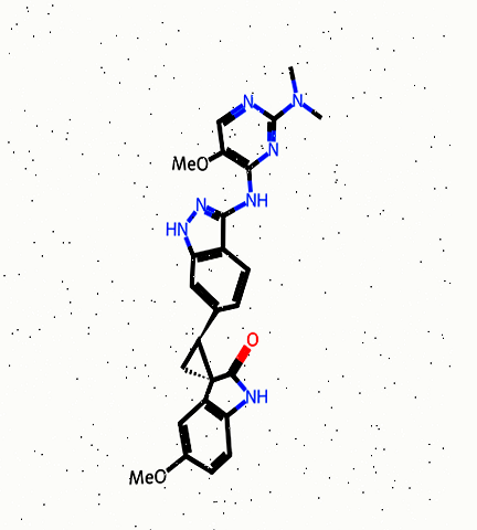 COc1ccc2c(c1)[C@]1(C[C@H]1c1ccc3c(Nc4nc(N(C)C)ncc4OC)n[nH]c3c1)C(=O)N2